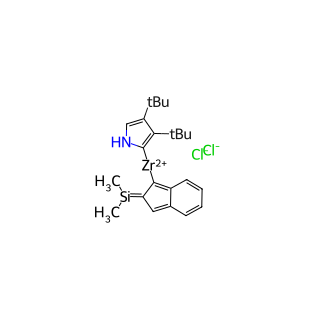 C[Si](C)=C1C=c2ccccc2=[C]1[Zr+2][c]1[nH]cc(C(C)(C)C)c1C(C)(C)C.[Cl-].[Cl-]